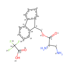 NCC(N)C(=O)OCC1c2ccccc2-c2ccccc21.O=C(O)C(F)(F)F